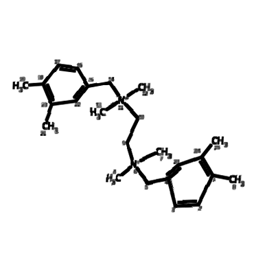 Cc1ccc(C[N+](C)(C)CC[N+](C)(C)Cc2ccc(C)c(C)c2)cc1C